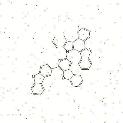 C/C=C\c1c(C)c2c3ccccc3c3sc4ccccc4c3c2n1-c1nc(-c2ccc3oc4ccccc4c3c2)c2oc3ccccc3c2n1